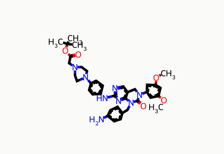 COc1cc(OC)cc(N2Cc3cnc(Nc4ccc(N5CCN(CC(=O)OC(C)(C)C)CC5)cc4)nc3N(Cc3ccc(N)cc3)C2=O)c1